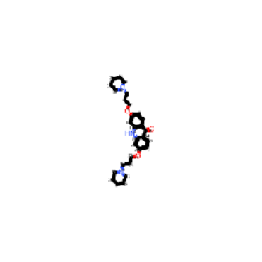 O=c1c2ccc(OCCCN3CCCCC3)cc2[nH]c2cc(OCCCN3CCCCC3)ccc12